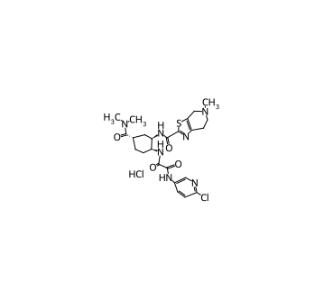 CN1CCc2nc(C(=O)N[C@@H]3C[C@@H](C(=O)N(C)C)CC[C@@H]3NC(=O)C(=O)Nc3ccc(Cl)nc3)sc2C1.Cl